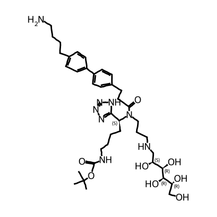 CC(C)(C)OC(=O)NCCCC[C@@H](c1nnn[nH]1)N(CCCNC[C@H](O)[C@@H](O)[C@H](O)[C@H](O)CO)C(=O)CCc1ccc(-c2ccc(CCCCN)cc2)cc1